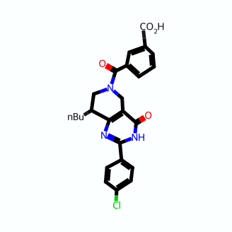 CCCCC1CN(C(=O)c2cccc(C(=O)O)c2)Cc2c1nc(-c1ccc(Cl)cc1)[nH]c2=O